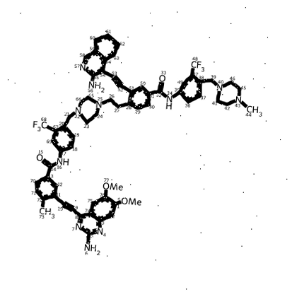 COc1cc2nc(N)nc(C#Cc3cc(C(=O)Nc4ccc(CN5CCN(CCc6ccc(C(=O)Nc7ccc(CN8CCN(C)CC8)c(C(F)(F)F)c7)cc6C#Cc6c(N)ncc7ccccc67)CC5)c(C(F)(F)F)c4)ccc3C)c2cc1OC